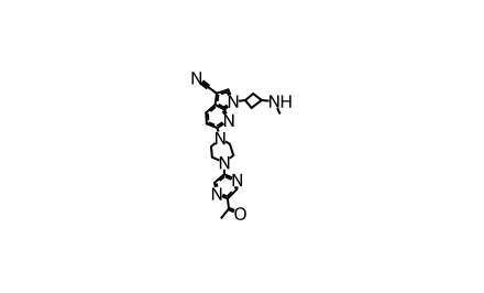 CNC1CC(n2cc(C#N)c3ccc(N4CCN(c5cnc(C(C)=O)cn5)CC4)nc32)C1